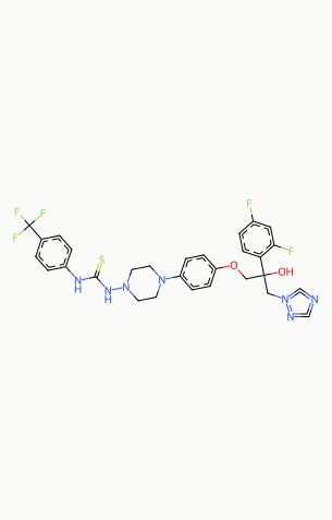 OC(COc1ccc(N2CCN(NC(=S)Nc3ccc(C(F)(F)F)cc3)CC2)cc1)(Cn1cncn1)c1ccc(F)cc1F